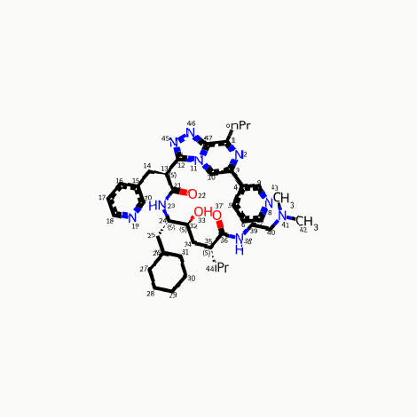 CCCc1nc(-c2cccnc2)cn2c([C@H](Cc3cccnc3)C(=O)N[C@@H](CC3CCCCC3)[C@@H](O)C[C@H](C(=O)NCCN(C)C)C(C)C)nnc12